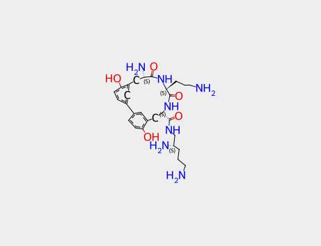 NCCC[C@H](N)CNC(=O)[C@@H]1Cc2cc(ccc2O)-c2ccc(O)c(c2)C[C@H](N)C(=O)N[C@@H](CCCN)C(=O)N1